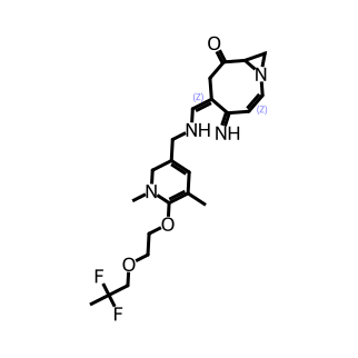 CC1=C(OCCOCC(C)(F)F)N(C)CC(CN/C=C2/CC(=O)C3CN3/C=C\C2=N)=C1